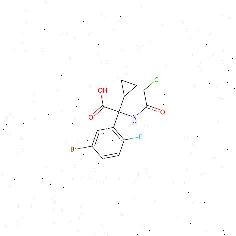 O=C(CCl)NC(C(=O)O)(c1cc(Br)ccc1F)C1CC1